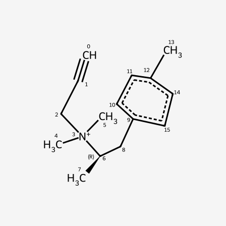 C#CC[N+](C)(C)[C@H](C)Cc1ccc(C)cc1